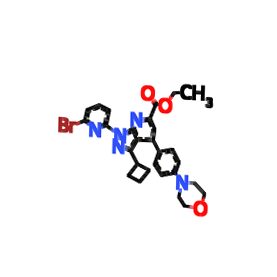 CCOC(=O)c1cc(-c2ccc(N3CCOCC3)cc2)c2c(C3CCC3)nn(-c3cccc(Br)n3)c2n1